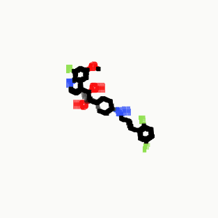 COc1cc(F)c2nccc([C@@H](O)[C@H](O)[C@H]3CC[C@H](NCC=Cc4cc(F)ccc4F)CC3)c2c1